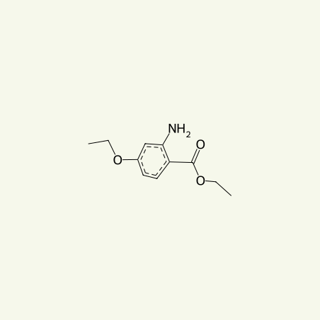 CCOC(=O)c1ccc(OCC)cc1N